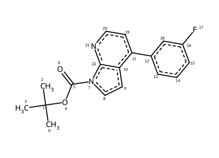 CC(C)(C)OC(=O)n1ccc2c(-c3cccc(F)c3)ccnc21